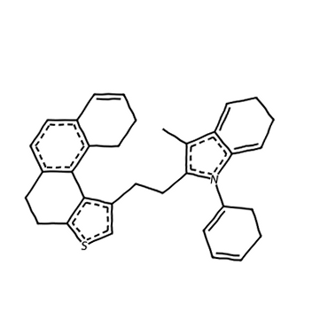 Cc1c(CCc2csc3c2-c2c(ccc4c2CCC=C4)CC3)n(C2=CC=CCC2)c2c1=CCCC=2